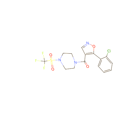 O=C(c1cnoc1-c1ccccc1Cl)N1CCN(S(=O)(=O)C(F)(F)F)CC1